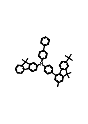 Cc1cc(-c2ccc(N(c3ccc(-c4ccccc4)cc3)c3ccc4c(c3)C(C)(C)c3ccccc3-4)cc2)c2c(c1)C(C)(C)c1cc(C(C)(C)C)ccc1-2